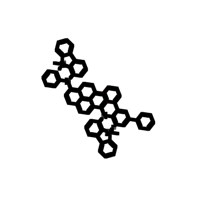 C[Si]1(C)c2ccccc2-c2cccc(N(c3ccccc3)c3ccc4ccc5c(N(c6cccc7c6[Si](C)(C)c6ccccc6-7)c6c(F)cc(-c7ccccc7)cc6-c6ccccc6)ccc6ccc3c4c65)c21